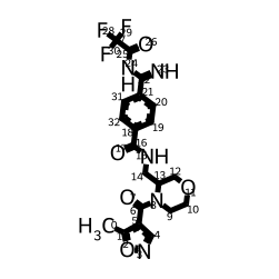 Cc1oncc1C(=O)N1CCOCC1CNC(=O)c1ccc(C(=N)NC(=O)C(F)(F)F)cc1